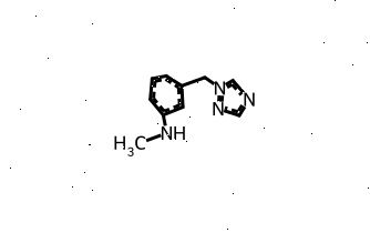 CNc1cccc(Cn2cncn2)c1